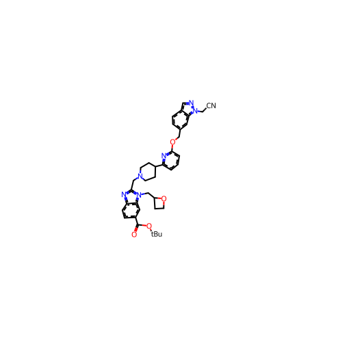 CC(C)(C)OC(=O)c1ccc2nc(CN3CCC(c4cccc(OCc5ccc6cnn(CC#N)c6c5)n4)CC3)n(CC3CCO3)c2c1